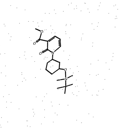 COC(=O)c1cccn(C2CCCC(O[Si](C)(C)C(C)(C)C)C2)c1=O